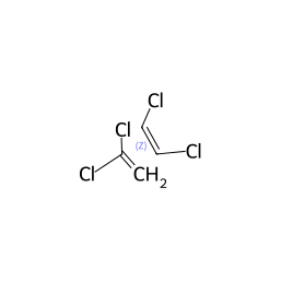 C=C(Cl)Cl.Cl/C=C\Cl